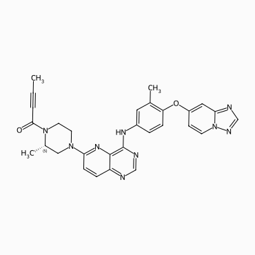 CC#CC(=O)N1CCN(c2ccc3ncnc(Nc4ccc(Oc5ccn6ncnc6c5)c(C)c4)c3n2)C[C@@H]1C